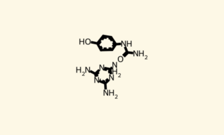 NC(=O)Nc1ccc(O)cc1.Nc1nc(N)nc(N)n1